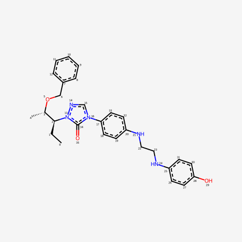 CC[C@@H]([C@H](C)OCc1ccccc1)n1ncn(-c2ccc(NCCNc3ccc(O)cc3)cc2)c1=O